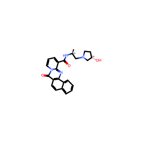 C[C@@H](CN1CC[C@H](O)C1)NC(=O)c1cccn2c(=O)c3ccc4ccccc4c3nc12